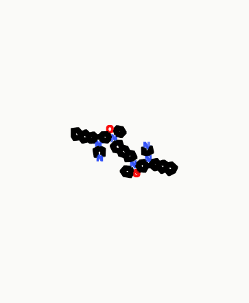 c1ccc2c(c1)Oc1cc3c4cc5cc6ccccc6cc5cc4n(-c4ccncc4)c3cc1N2c1ccc2cc3cc(N4c5ccccc5Oc5cc6c7cc8cc9ccccc9cc8cc7n(-c7ccncc7)c6cc54)ccc3cc2c1